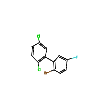 Fc1ccc(Br)c(-c2cc(Cl)[c]cc2Cl)c1